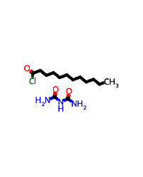 CCCCCCCCCCCC(=O)Cl.NC(=O)NC(N)=O